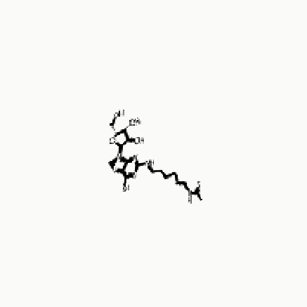 CC(=S)NCCCCCCNc1nc(S)c2ncn(C3O[C@H](CO)[C@H](O)C3O)c2n1